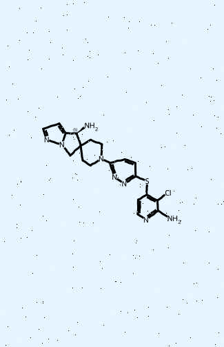 Nc1nccc(Sc2ccc(N3CCC4(CC3)Cn3nccc3[C@H]4N)nn2)c1Cl